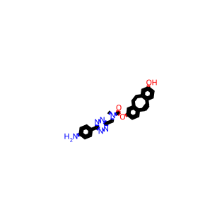 CN(Cc1nnc(-c2ccc(N)cc2)nn1)C(=O)Oc1ccc2c(c1)CCc1cc(O)ccc1C#C2